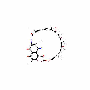 COC1=C2NC(=O)/C(C)=C\C=C\[C@H](C)[C@H](O)[C@@H](C)[C@@H](O)[C@@H](C)[C@H](O)[C@H](C)[C@@H](OC)/C=C/O[C@@]3(C)Oc4c(C)c(O)c(c(c4C3=O)C1=N)C2=O